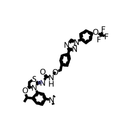 CC(C)c1ccc(N(C)C)cc1N1C(=O)CS/C1=N\C(=O)NOCc1ccc(-c2ncn(-c3ccc(OC(F)(F)F)cc3)n2)cc1